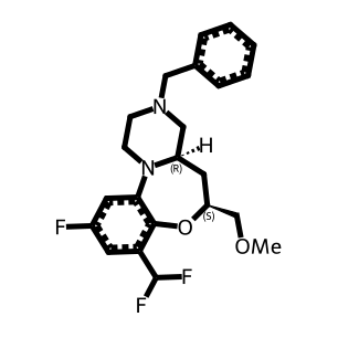 COC[C@@H]1C[C@@H]2CN(Cc3ccccc3)CCN2c2cc(F)cc(C(F)F)c2O1